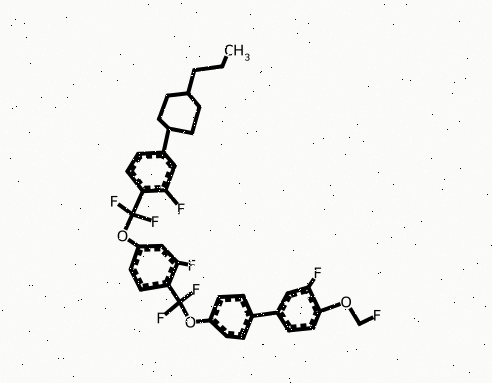 CCCC1CCC(c2ccc(C(F)(F)Oc3ccc(C(F)(F)Oc4ccc(-c5ccc(OCF)c(F)c5)cc4)c(F)c3)c(F)c2)CC1